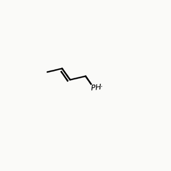 C/C=C/C[PH]